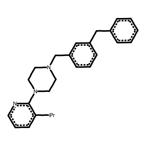 CC(C)c1cccnc1N1CCN(Cc2cccc(Cc3ccccc3)c2)CC1